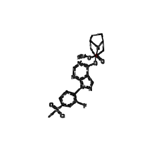 CC(C)(C)OC(=O)N1C2CCC1CC(Oc1ncnc3c1cnn3-c1ccc(S(C)(=O)=O)cc1F)C2